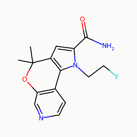 CC1(C)Oc2cnccc2-c2c1cc(C(N)=O)n2CCF